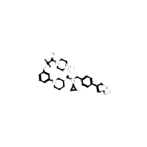 CC(C)(Oc1cccc(N2CCC[C@@H](C(=O)N(Cc3ccc(-c4cn[nH]c4)cc3)C3CC3)C2)c1)C(=O)N1CCNCC1